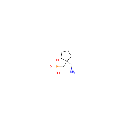 NCC1(CP(=O)(O)O)CCCC1